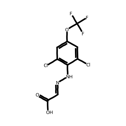 O=C(O)/C=N/Nc1c(Cl)cc(OC(F)(F)F)cc1Cl